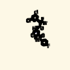 C=C(Cl)/C(=C\C(=C/C)NC(=O)C1C(c2cc(Cl)cc(Cl)c2)C1(F)Br)C(=O)Nc1ccc(F)cc1